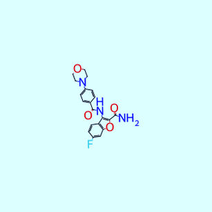 NC(=O)c1oc2cc(F)ccc2c1NC(=O)c1ccc(N2CCOCC2)cc1